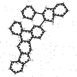 c1ccc(-c2nc3ccccc3nc2-c2ccc3c(c2)c2ccccc2c2cc4c(cc32)sc2ccccc24)cc1